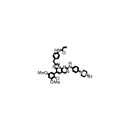 C=CC(=O)Nc1ccc(Cc2nc3c(-c4cc(OC)cc(OC)c4Cl)cc4cnc(Nc5ccc(N6CCN(CC)CC6)cc5)nc4n3n2)cc1